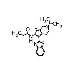 [CH2]CC(=O)Nc1sc2c(c1-c1nc3ccccc3s1)CCN(C(C)C)C2